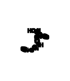 Oc1cnc2cc(N3CCOCC3)nc(O[C@H]3CC[C@@H](Nc4ccc(OCCN5CCOCC5)cn4)CC3)c2c1